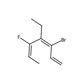 C=C/C(Br)=C(CC)\C(F)=C/C